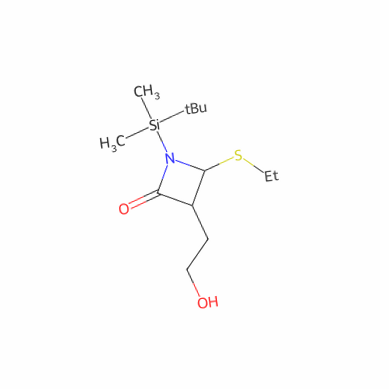 CCSC1C(CCO)C(=O)N1[Si](C)(C)C(C)(C)C